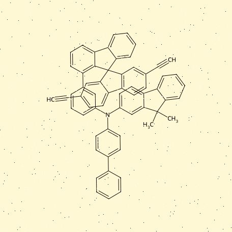 C#Cc1ccc2c(c1)C1(c3cc(C#C)ccc3-2)c2ccccc2-c2cccc(-c3cccc(N(c4ccc(-c5ccccc5)cc4)c4ccc5c(c4)C(C)(C)c4ccccc4-5)c3)c21